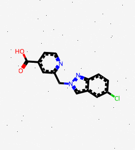 O=C(O)c1ccnc(Cn2cc3cc(Cl)ccc3n2)c1